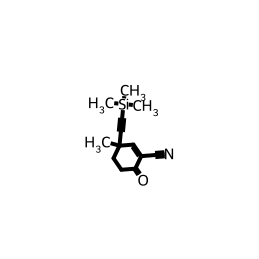 CC1(C#C[Si](C)(C)C)C=C(C#N)C(=O)CC1